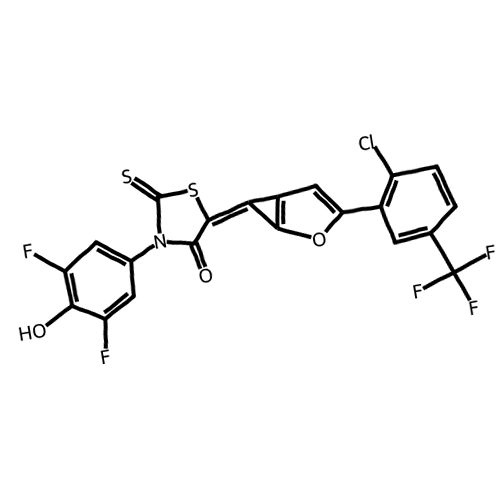 O=C1C(=C2c3cc(-c4cc(C(F)(F)F)ccc4Cl)oc32)SC(=S)N1c1cc(F)c(O)c(F)c1